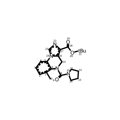 Cc1cccc2c1N(C(=O)N1CCCC1)Cc1c(C(=O)OC(C)(C)C)ncn1-2